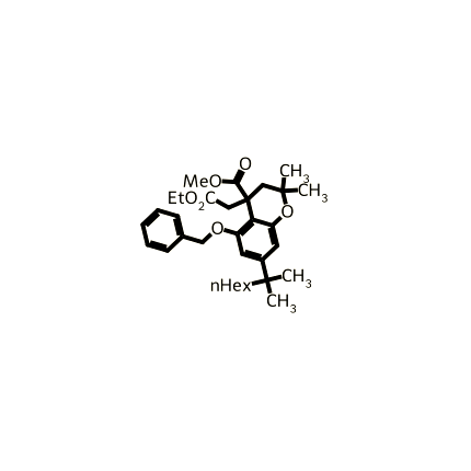 CCCCCCC(C)(C)c1cc(OCc2ccccc2)c2c(c1)OC(C)(C)CC2(CC(=O)OCC)C(=O)OC